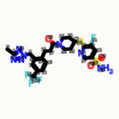 Cc1nnn(Cc2cc(C(F)(F)F)ccc2CCC(=O)N2CCC(Sc3ncc(S(N)(=O)=O)cc3F)CC2)n1